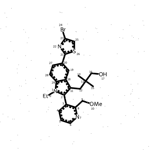 CCn1c(-c2cccnc2COC)c(CC(C)(C)CO)c2cc(-c3nc(Br)cs3)ccc21